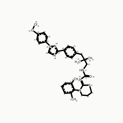 Cc1cccc(C)c1N1CCCS/C1=N\C(=O)NCC(C)(C)Cc1ccc(-c2ncn(-c3ccc(OC(F)(F)F)cc3)n2)cc1